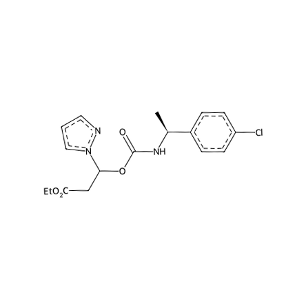 CCOC(=O)CC(OC(=O)N[C@@H](C)c1ccc(Cl)cc1)n1cccn1